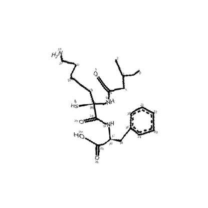 CC(C)CC(=O)N[C@@](S)(CCCCN)C(=O)N[C@@H](Cc1ccccc1)C(=O)O